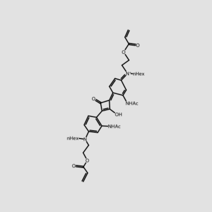 C=CC(=O)OCCN(CCCCCC)c1ccc(C2=C(O)/C(=C3C=C/C(=[N+](/CCCCCC)CCOC(=O)C=C)C=C/3NC(C)=O)C2=O)c(NC(C)=O)c1